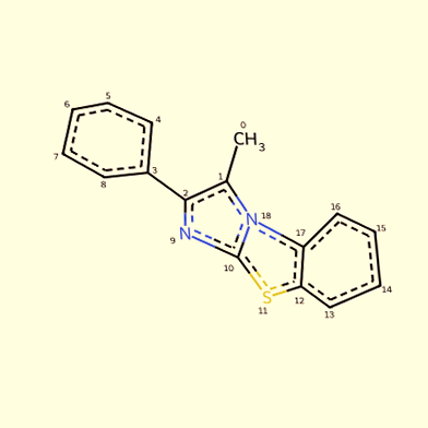 Cc1c(-c2ccccc2)nc2sc3ccccc3n12